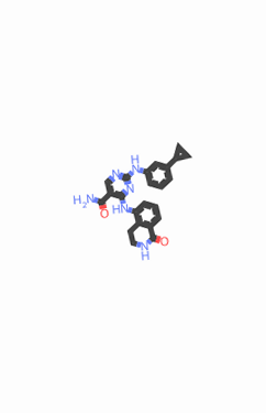 NC(=O)c1cnc(Nc2cccc(C3CC3)c2)nc1Nc1cccc2c1CCNC2=O